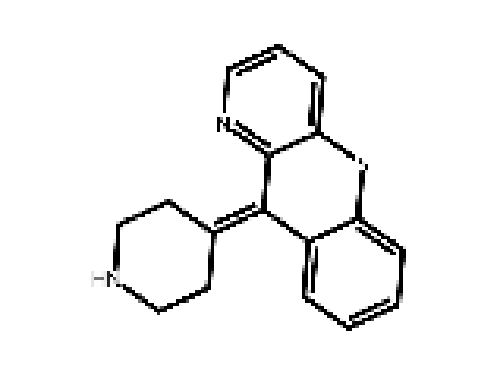 c1ccc2c(c1)Sc1cccnc1C2=C1CCNCC1